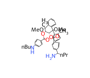 CCCCNc1ccc(C(=O)O[C@H]2[C@@H](OC(=O)c3ccc(C(N)CCC)cc3)[C@@](OC)(c3ccccc3C)c3ccccc3[C@@]2(C)OC)cc1